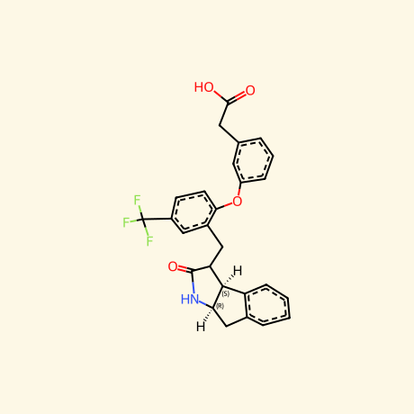 O=C(O)Cc1cccc(Oc2ccc(C(F)(F)F)cc2CC2C(=O)N[C@@H]3Cc4ccccc4[C@H]23)c1